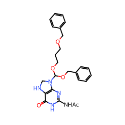 CC(=O)Nc1nc2c(c(=O)[nH]1)NCN2C(OCCCOCc1ccccc1)OCc1ccccc1